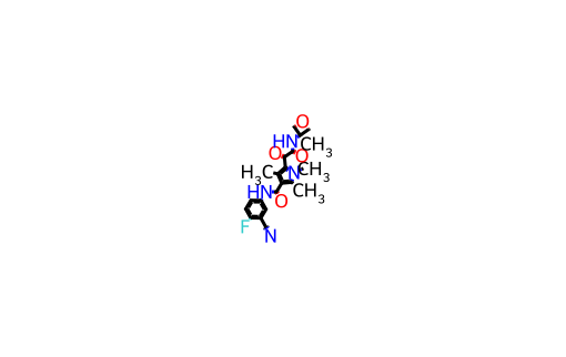 Cc1c(C(=O)Nc2ccc(F)c(C#N)c2)c(C)n(C)c1C(=O)C(=O)NC1(C)COC1